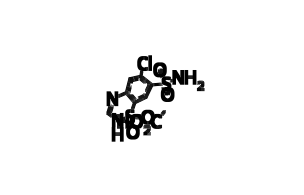 CC(=O)O.NS(=O)(=O)c1cc2c(cc1Cl)N=CNS2(=O)=O